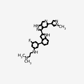 CN(C)CCNc1cc(F)cc(-c2cccc3[nH]c(-c4n[nH]c5cnc(-c6cnn(C)c6)cc45)cc23)c1